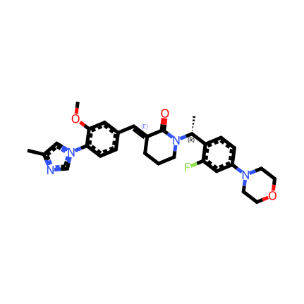 COc1cc(/C=C2\CCCN([C@H](C)c3ccc(N4CCOCC4)cc3F)C2=O)ccc1-n1cnc(C)c1